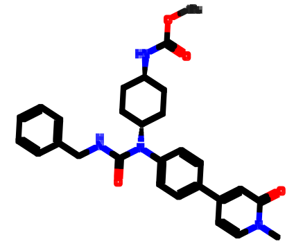 Cn1ccc(-c2ccc(N(C(=O)NCc3ccccc3)[C@H]3CC[C@H](NC(=O)OC(C)(C)C)CC3)cc2)cc1=O